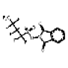 O=C1c2ccccc2C(=O)N1OS(=O)(=O)C(F)(F)C(F)(F)C(F)(F)C(F)(F)F